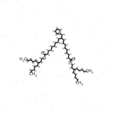 CCCCCC(CCCCC)CCOC(=O)CCCCCCCCC(CCCCCCCCC(=O)OCCC(CCCCC)CCCCC)CN1CCCC1